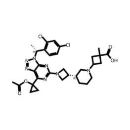 CC(=O)OC1(c2nc(N3CC([C@H]4CCCN(C5CC(C)(C(=O)O)C5)C4)C3)nc3c2nnn3[C@H](C)c2ccc(Cl)cc2Cl)CC1